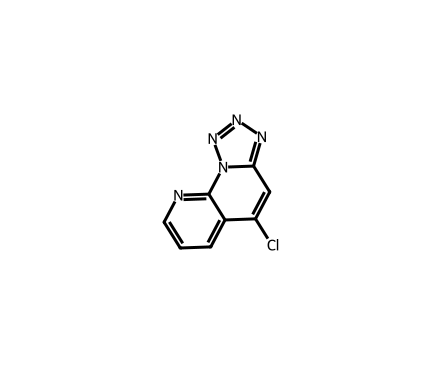 Clc1cc2nnnn2c2ncccc12